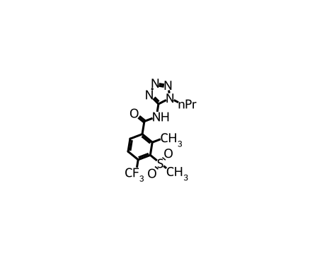 CCCn1nnnc1NC(=O)c1ccc(C(F)(F)F)c(S(C)(=O)=O)c1C